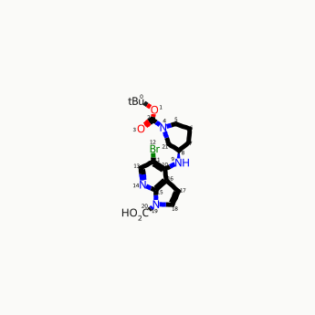 CC(C)(C)OC(=O)N1CCC[C@@H](Nc2c(Br)cnc3c2ccn3C(=O)O)C1